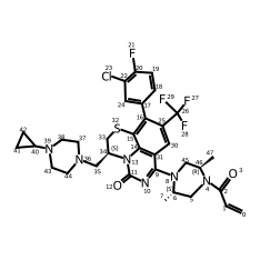 C=CC(=O)N1C[C@H](C)N(c2nc(=O)n3c4c(c(-c5ccc(F)c(Cl)c5)c(C(F)(F)F)cc24)SC[C@@H]3CN2CCN(C3CC3)CC2)C[C@H]1C